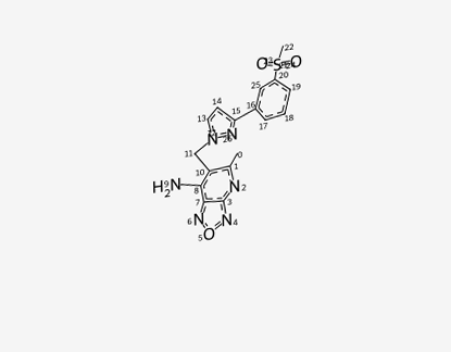 Cc1nc2nonc2c(N)c1Cn1ccc(-c2cccc(S(C)(=O)=O)c2)n1